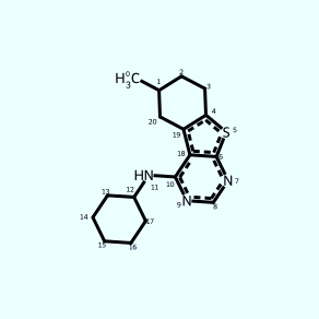 CC1CCc2sc3ncnc(NC4CCCCC4)c3c2C1